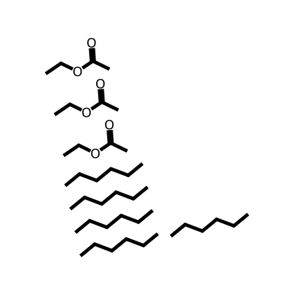 CCCCCC.CCCCCC.CCCCCC.CCCCCC.CCCCCC.CCOC(C)=O.CCOC(C)=O.CCOC(C)=O